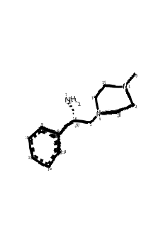 CN1CCN(C[C@@H](N)c2ccccc2)CC1